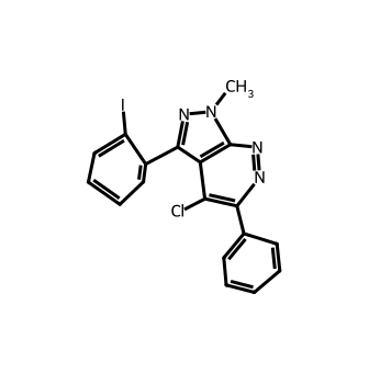 Cn1nc(-c2ccccc2I)c2c(Cl)c(-c3ccccc3)nnc21